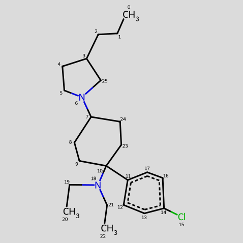 CCCC1CCN(C2CCC(c3ccc(Cl)cc3)(N(CC)CC)CC2)C1